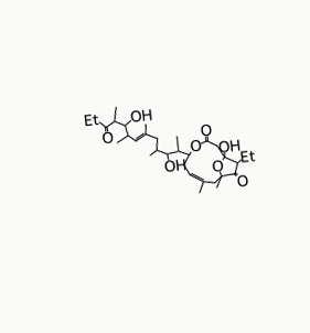 CCC(=O)C(C)C(O)C(C)C=C(C)CC(C)C(O)C(C)C1CC=C(C)CC2(C)OC(O)(CC(=O)O1)C(CC)C2=O